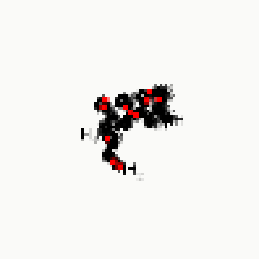 CC1(C)CCC(C)(C)c2cc(-c3cc(N4CCC(N)CC4)ncn3)ccc21.CC1(C)CCC(C)(C)c2cc(-c3cc(N4CCNCC4)ncn3)ccc21.CC1(C)CCC(C)(C)c2cc(-c3cncc(N4CCC(N)CC4)c3)ccc21.CC1(C)CCC(C)(C)c2cc(-c3cncc(N4CCNCC4)c3)ccc21.CC1(C)CCC(C)(C)c2cc(-c3cncc(N4CCNCC4)n3)ccc21